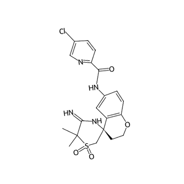 CC1(C)C(=N)N[C@@]2(CCOc3ccc(NC(=O)c4ccc(Cl)cn4)cc32)CS1(=O)=O